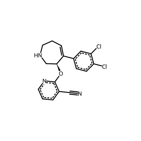 N#Cc1cccnc1O[C@H]1CNCCC=C1c1ccc(Cl)c(Cl)c1